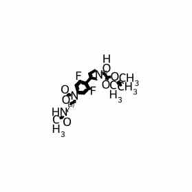 CC(=O)NC[C@H]1CN(c2cc(F)c(C3=CCN([C@@H](O)C(=O)OC(C)(C)C)C3)c(F)c2)C(=O)O1